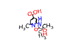 Cc1cc(C(=O)O)cc(NC(=O)C(C)(C)O)n1